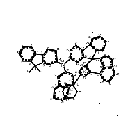 CC1(C)c2ccccc2-c2ccc(N(c3ccc4c(c3)C3(c5ccccc5-4)c4ccc(C5CCCCC5)cc4-c4cccc5cccc3c45)c3ccc4ccccc4c3)cc21